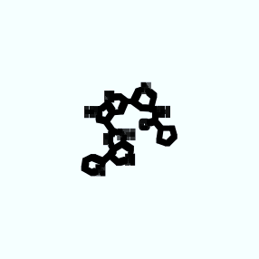 O=C(Nc1cncc(-c2cnc3[nH]cc(-c4nc5c(-c6ccccn6)cncc5[nH]4)c3c2)c1)C1CCCC1